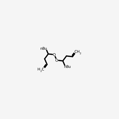 C=CCC(CCCC)OOC(CC=C)CCCC